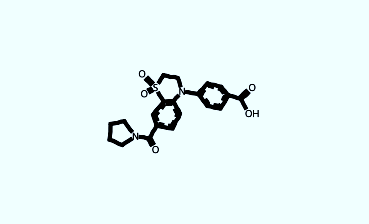 O=C(O)c1ccc(N2CCS(=O)(=O)c3cc(C(=O)N4CCCC4)ccc32)cc1